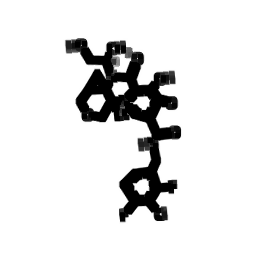 CCC12COCC3CC31N([C@H](C)CO)C(=O)c1c(O)c(=O)c(C(=O)NCc3ccc(F)c(Cl)c3F)cn12